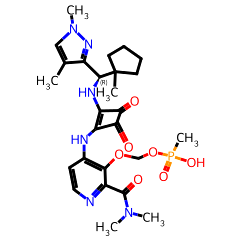 Cc1cn(C)nc1[C@H](Nc1c(Nc2ccnc(C(=O)N(C)C)c2OCOP(C)(=O)O)c(=O)c1=O)C1(C)CCCC1